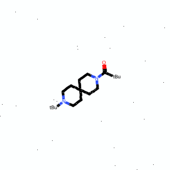 CC(C)(C)C(=O)N1CCC2(CC1)CCN(C(C)(C)C)CC2